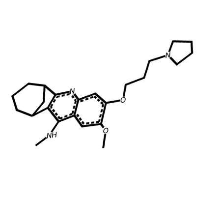 CNc1c2c(nc3cc(OCCCN4CCCC4)c(OC)cc13)C1CCCC2C1